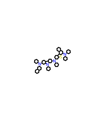 c1ccc(N(c2ccc3ccccc3c2)c2ccc3c4ccc(N(c5ccccc5)c5ccc6c(c5)sc5c(N(c7ccccc7)c7ccccc7)cc7ccccc7c56)cc4n(-c4ccccc4)c3c2)cc1